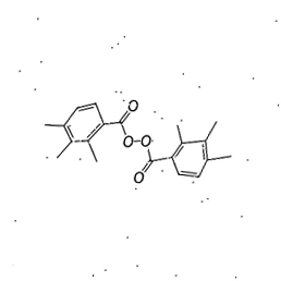 Cc1ccc(C(=O)OOC(=O)c2ccc(C)c(C)c2C)c(C)c1C